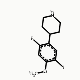 COc1cc(F)c(C2CCNCC2)cc1I